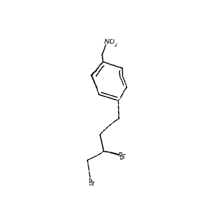 O=[N+]([O-])c1ccc(CCC(Br)CBr)cc1